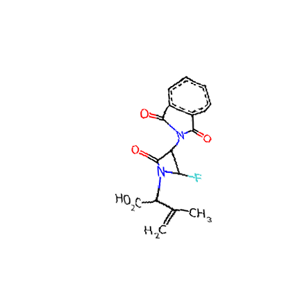 C=C(C)C(C(=O)O)N1C(=O)C(N2C(=O)c3ccccc3C2=O)C1F